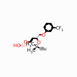 CC(C)(C)[Si](C)(C)O[C@H](/C=C/OBO)COc1cccc(C(F)(F)F)c1